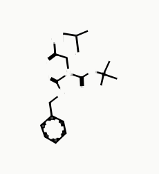 CC(C)C[C@@H](C(=O)O)N(C(=O)OCc1ccccc1)C(=O)OC(C)(C)C